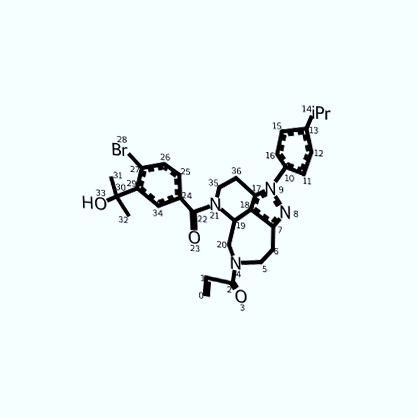 C=CC(=O)N1CCc2nn(-c3ccc(C(C)C)cc3)c3c2C(C1)N(C(=O)c1ccc(Br)c(C(C)(C)O)c1)CC3